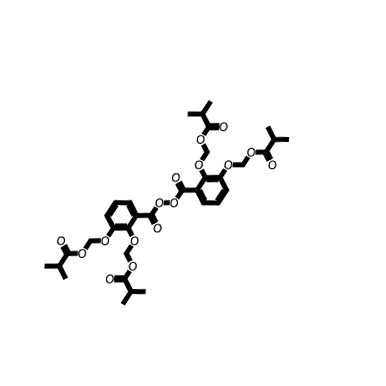 CC(C)C(=O)OCOc1cccc(C(=O)OOC(=O)c2cccc(OCOC(=O)C(C)C)c2OCOC(=O)C(C)C)c1OCOC(=O)C(C)C